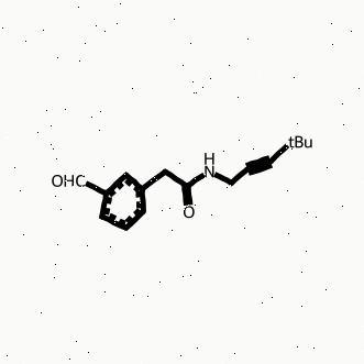 CC(C)(C)C#CCNC(=O)Cc1cccc(C=O)c1